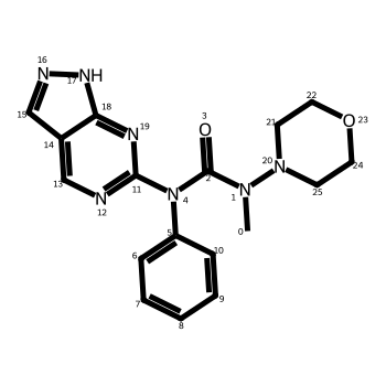 CN(C(=O)N(c1ccccc1)c1ncc2cn[nH]c2n1)N1CCOCC1